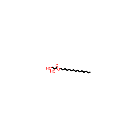 CCCCCCCCCCCCCCCOC(=O)C(O)CO